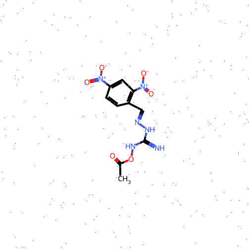 CC(=O)ONC(=N)NN=Cc1ccc([N+](=O)[O-])cc1[N+](=O)[O-]